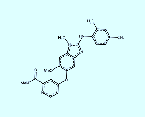 CNC(=O)c1cc(Oc2cc3nc(Nc4ccc(C)cc4C)n(C)c3cc2OC)ccn1